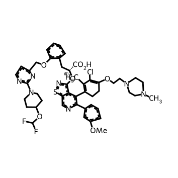 COc1cccc(-c2ncc3snc(O[C@H](Cc4ccccc4OCc4ccnc(N5CCC(OC(F)F)CC5)n4)C(=O)O)c3c2C2=C(C)C(Cl)=C(OCCN3CCN(C)CC3)CC2)c1